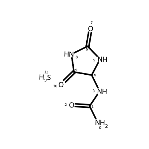 NC(=O)NC1NC(=O)NC1=O.S